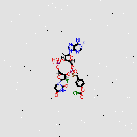 C[C@@H]1[C@@H]2OP(=O)(O)OC[C@H]3O[C@@H](n4ccc(=O)[nH]c4=O)[C@H](F)[C@@H]3OP(=O)(SCc3ccc(OC(=O)Cl)cc3)OC[C@H]2O[C@H]1n1cnc2c(N)ncnc21